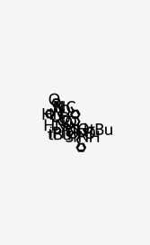 CC(C)C(NC(=O)C(Cc1ccc(C#N)cc1)CC(O[Si](C)(C)C(C)(C)C)C(Cc1ccccc1)NC(=O)OC(C)(C)C)C(=O)NC(Cc1ccccc1)C(=O)NC(=O)N1CCOCC1